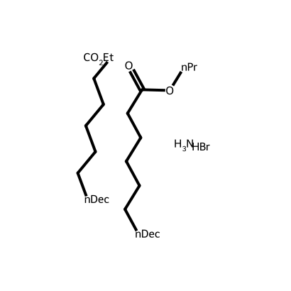 Br.CCCCCCCCCCCCCCCC(=O)OCC.CCCCCCCCCCCCCCCC(=O)OCCC.N